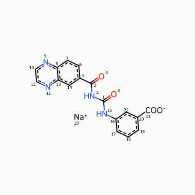 O=C(NC(=O)c1ccc2nccnc2c1)Nc1cccc(C(=O)[O-])c1.[Na+]